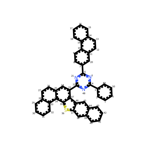 c1ccc(-c2nc(-c3ccc4c(ccc5ccccc54)c3)nc(-c3cc4ccc5ccccc5c4c4sc5cc6ccccc6cc5c34)n2)cc1